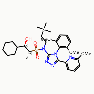 COc1cccc(-c2nnc(N(CC[Si](C)(C)C)S(=O)(=O)[C@H](C)[C@H](O)C3CCCCC3)n2-c2c(OC)cccc2OC)n1